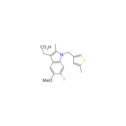 COc1cc2c(CC(=O)O)c(C)n(Cc3csc(C)c3)c2cc1F